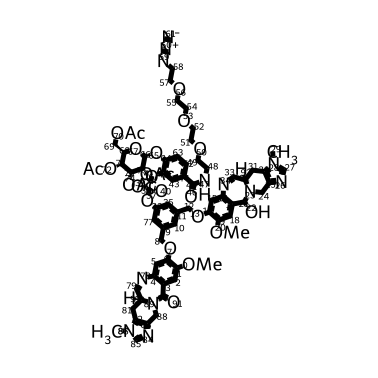 COc1cc2c(cc1OCc1cc(COc3cc4c(cc3OC)C(O)N3Cc5ncn(C)c5C[C@H]3C=N4)cc(OS(=O)(=O)Oc3cc(C(=O)NCCOCCOCCOCCN=[N+]=[N-])ccc3O[C@@H]3O[C@H](COC(C)=O)[C@H](OC(C)=O)[C@H](OC(C)=O)[C@H]3OC(C)=O)c1)N=C[C@@H]1Cc3c(ncn3C)CN1C2=O